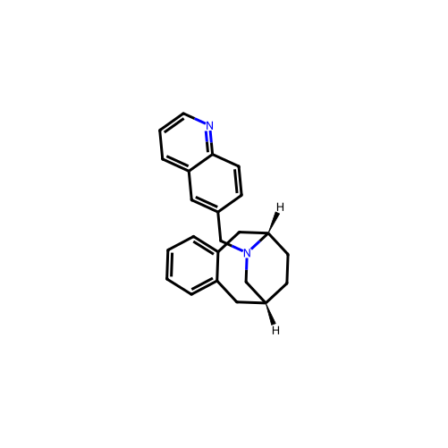 c1ccc2c(c1)C[C@H]1CC[C@@H](C2)N(Cc2ccc3ncccc3c2)C1